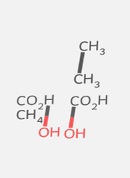 C.CC.O=C(O)O.O=C(O)O